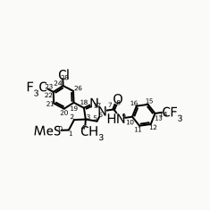 CSCCC1(C)CN(C(=O)Nc2ccc(C(F)(F)F)cc2)N=C1c1ccc(C(F)(F)F)c(Cl)c1